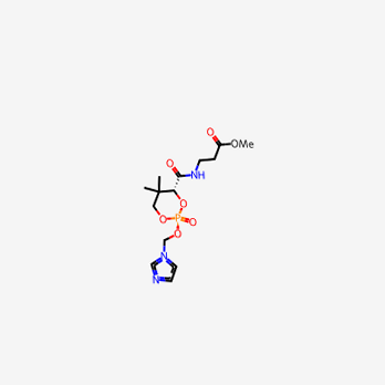 COC(=O)CCNC(=O)[C@@H]1O[P@@](=O)(OCn2ccnc2)OCC1(C)C